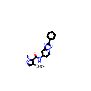 Cn1ncc([C]=O)c1C(=O)Nc1ccn2nc(-c3ccccc3)nc2c1